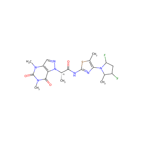 Cc1sc(NC(=O)[C@H](C)n2ncc3c2c(=O)n(C)c(=O)n3C)nc1N1C(F)CC(F)C1C